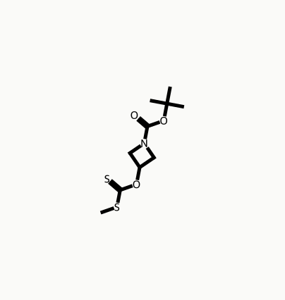 CSC(=S)OC1CN(C(=O)OC(C)(C)C)C1